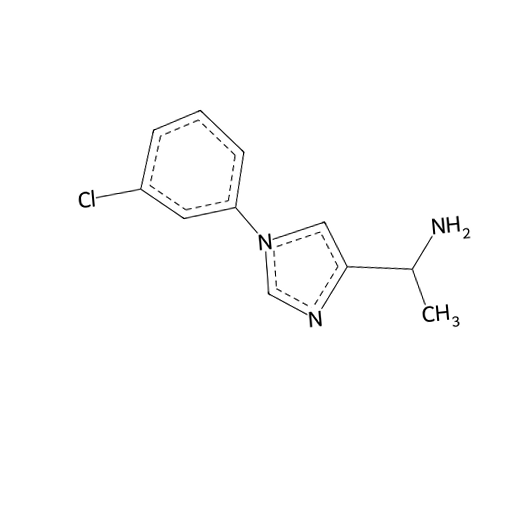 CC(N)c1cn(-c2cccc(Cl)c2)cn1